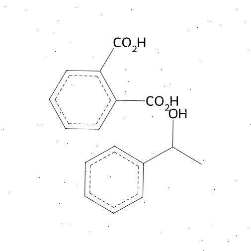 CC(O)c1ccccc1.O=C(O)c1ccccc1C(=O)O